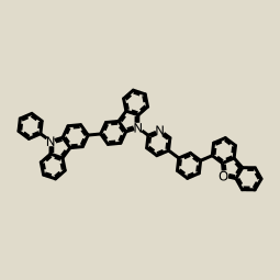 c1ccc(-n2c3ccccc3c3cc(-c4ccc5c(c4)c4ccccc4n5-c4ccc(-c5cccc(-c6cccc7c6oc6ccccc67)c5)cn4)ccc32)cc1